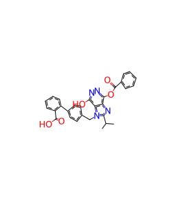 CC(C)c1nc2c(OC(=O)c3ccccc3)nnc(O)c2n1Cc1ccc(-c2ccccc2C(=O)O)cc1